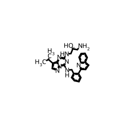 CC(C)c1cnn2c(NCc3ccccc3-c3ccc4ccccc4n3)nc(NC[C@H](O)CN)nc12